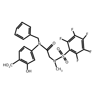 CN(CC(=O)N(Cc1ccccc1)c1ccc(C(=O)O)c(O)c1)S(=O)(=O)c1c(F)c(F)c(F)c(F)c1F